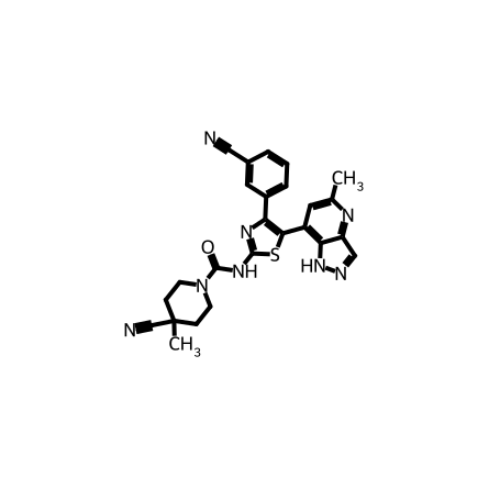 Cc1cc(-c2sc(NC(=O)N3CCC(C)(C#N)CC3)nc2-c2cccc(C#N)c2)c2[nH]ncc2n1